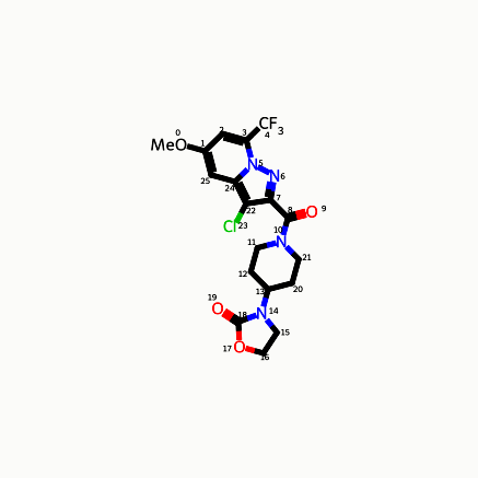 COc1cc(C(F)(F)F)n2nc(C(=O)N3CCC(N4CCOC4=O)CC3)c(Cl)c2c1